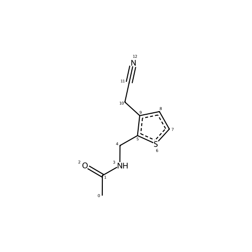 CC(=O)NCc1sccc1CC#N